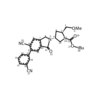 COC[C@@H]1C[C@@H](N2Cc3cc(C#N)c(-c4cccc(C#N)c4)cc3C2=O)CN1C(=O)OC(C)(C)C